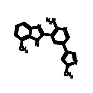 Cc1cccc2nc(-c3cc(-c4cnn(C)c4)cnc3N)[nH]c12